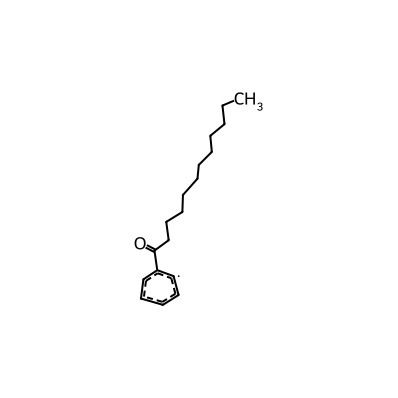 CCCCCCCCCCCC(=O)c1[c]cccc1